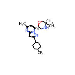 Cc1cc([C@H]2CNC(C)(C)CO2)n2nc(C3CCC(C(F)(F)F)CC3)cc2n1